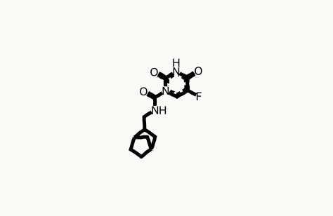 O=C(NCC1CC2CCC1C2)n1cc(F)c(=O)[nH]c1=O